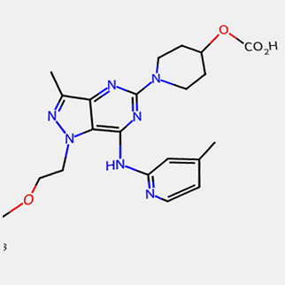 Cc1ccnc(Nc2nc(N3CCC(OC(=O)O)CC3)nc3c(C)nn(CCOCC(F)(F)F)c23)c1